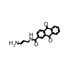 NC=CCNC(=O)c1ccc2c(c1)C(=O)c1ccccc1C2=O